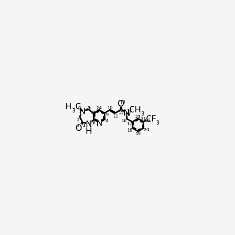 CN1CC(=O)Nc2ncc(C=CC(=O)N(C)Cc3cccc(C(F)(F)F)c3)cc2C1